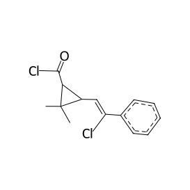 CC1(C)C(C=C(Cl)c2ccccc2)C1C(=O)Cl